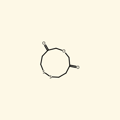 O=C1CCSSCCC(=O)COC1